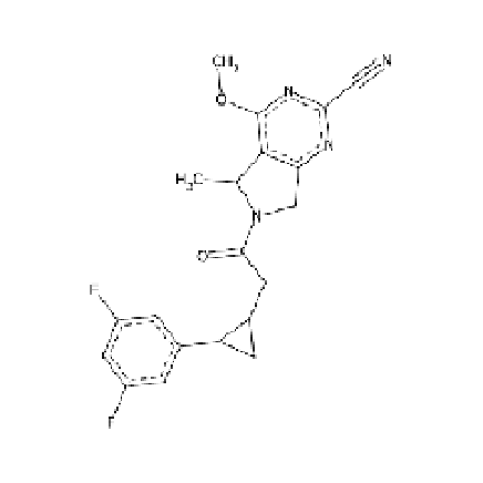 COc1nc(C#N)nc2c1C(C)N(C(=O)CC1CC1c1cc(F)cc(F)c1)C2